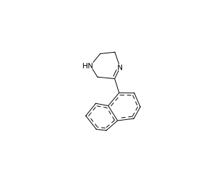 c1ccc2c(C3=NCCNC3)cccc2c1